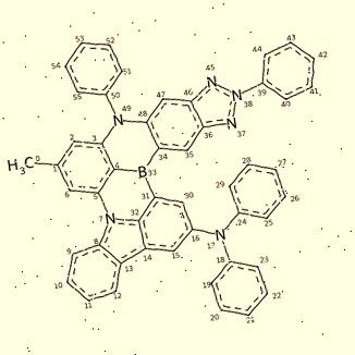 Cc1cc2c3c(c1)-n1c4ccccc4c4cc(N(c5ccccc5)c5ccccc5)cc(c41)B3c1cc3nn(-c4ccccc4)nc3cc1N2c1ccccc1